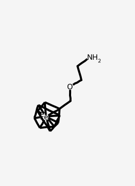 NCCOC[C]12[CH]3[CH]4[CH]5[CH]1[Fe]45321678[CH]2[CH]1[CH]6[CH]7[CH]28